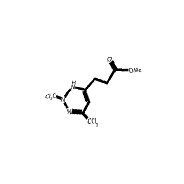 COC(=O)CCC1=CC(C(Cl)(Cl)Cl)=NN(C(Cl)(Cl)Cl)N1